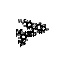 Cc1ccc(C(C(=O)NNc2cc(C(F)(F)F)cc(C(F)(F)F)c2)N2CCN3CCC[C@@H]3C2)nc1